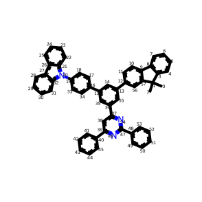 CC1(C)c2ccccc2-c2ccc(-c3cc(-c4ccc(-n5c6ccccc6c6ccccc65)cc4)cc(-c4cc(-c5ccccc5)nc(-c5ccccc5)n4)c3)cc21